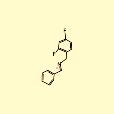 Fc1ccc(C/N=C/c2ccccc2)c(F)c1